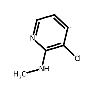 CNc1ncc[c]c1Cl